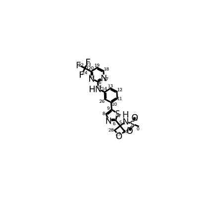 CS(=O)(=O)NC1(c2ncc(-c3cccc(Nc4nccc(C(F)(F)F)n4)c3)s2)COC1